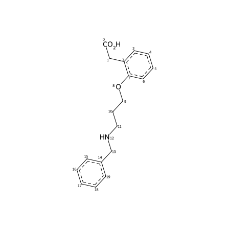 O=C(O)Cc1ccccc1OCCCNCc1ccccc1